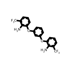 Nc1c(Oc2cccc(Oc3cccc(C(F)(F)F)c3N)c2)cccc1C(F)(F)F